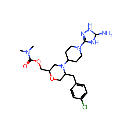 CN(C)C(=O)OCC1CN(C2CCN(C3=NNC(N)N3)CC2)C(Cc2ccc(Cl)cc2)CO1